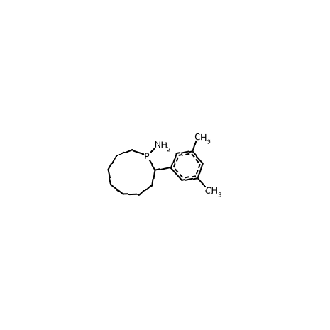 Cc1cc(C)cc(C2CCCCCCCP2N)c1